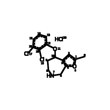 Cc1cc2c(o1)CNCCC2Oc1cccc(Cl)c1Cl.Cl